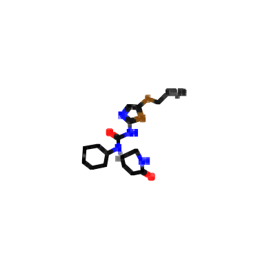 CCOC(=O)CSc1cnc(NC(=O)N(C2CCCCC2)[C@H]2CCC(=O)NC2)s1